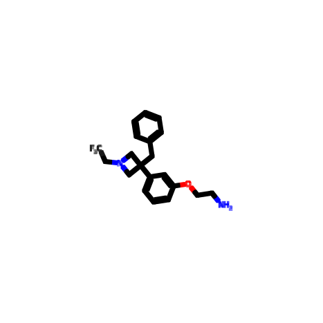 NCCOc1cccc(C2(Cc3ccccc3)CN(CC(F)(F)F)C2)c1